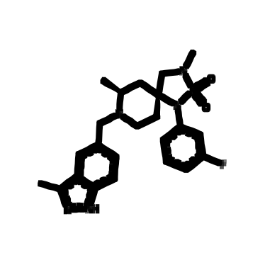 Cc1n[nH]c2ccc(CN3CC[C@@]4(C[C@@H]3C)CN(C)S(=O)(=O)N4c3cccc(F)c3)cc12